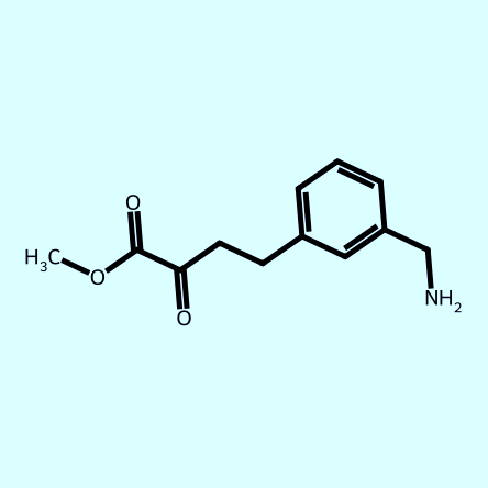 COC(=O)C(=O)CCc1cccc(CN)c1